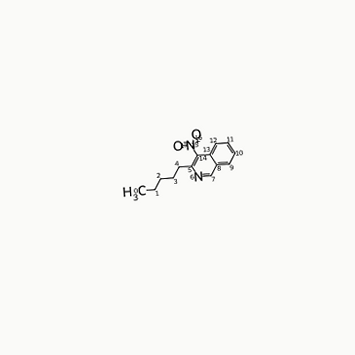 CCCCCc1ncc2ccccc2c1[N+](=O)[O-]